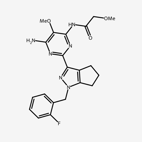 COCC(=O)Nc1nc(-c2nn(Cc3ccccc3F)c3c2CCC3)nc(N)c1OC